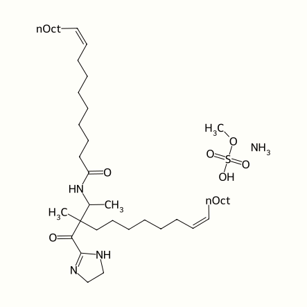 CCCCCCCC/C=C\CCCCCCCC(=O)NC(C)C(C)(CCCCCC/C=C\CCCCCCCC)C(=O)C1=NCCN1.COS(=O)(=O)O.N